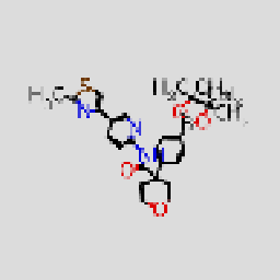 Cc1nc(-c2ccc(NC(=O)C3(c4ccc(B5OC(C)(C)C(C)(C)O5)cc4)CCOCC3)nc2)cs1